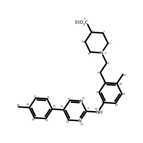 CCOC(=O)C1CCN(CCc2cc(Nc3ncc(-c4ccc(C)cc4)cn3)ccc2C)CC1